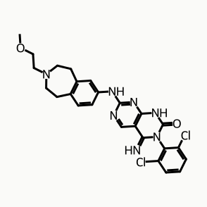 COCCN1CCc2ccc(Nc3ncc4c(=N)n(-c5c(Cl)cccc5Cl)c(=O)[nH]c4n3)cc2CC1